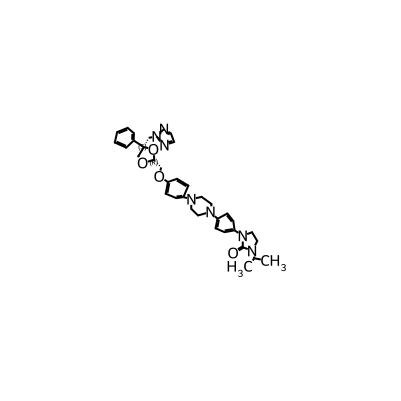 CC(C)N1CCN(c2ccc(N3CCN(c4ccc(OC[C@@H]5OC[C@@](Cn6nccn6)(c6ccccc6)O5)cc4)CC3)cc2)C1=O